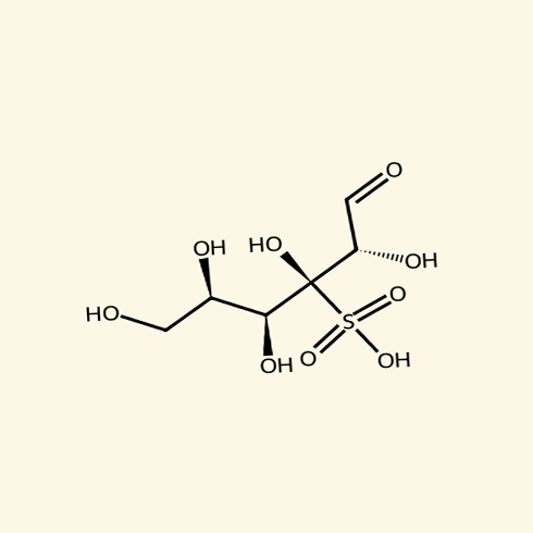 O=C[C@H](O)[C@@](O)([C@@H](O)[C@H](O)CO)S(=O)(=O)O